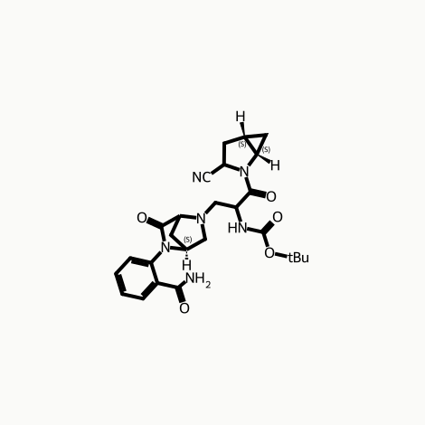 CC(C)(C)OC(=O)NC(CN1C[C@@H]2CC1C(=O)N2c1ccccc1C(N)=O)C(=O)N1C(C#N)C[C@@H]2C[C@@H]21